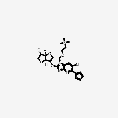 C[Si](C)(C)CCOCn1c(O[C@@H]2CO[C@H]3[C@@H]2OC[C@H]3O)nc2nc(C3=C=CC=C3)c(Cl)cc21